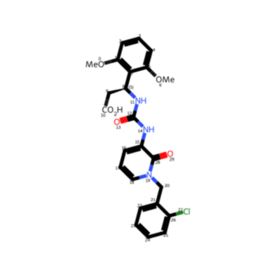 COc1cccc(OC)c1[C@H](CC(=O)O)NC(=O)Nc1cccn(Cc2ccccc2Cl)c1=O